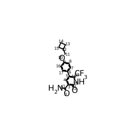 NC(=O)c1cc(-c2ccc(OCC3CCC3)cc2)c(C(F)(F)F)[nH]c1=O